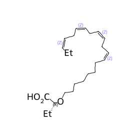 CC/C=C\C/C=C\C/C=C\C/C=C\CCCCCCCO[C@H](CC)C(=O)O